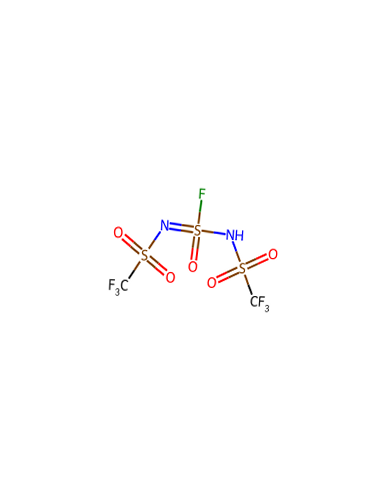 O=S(=O)(N=S(=O)(F)NS(=O)(=O)C(F)(F)F)C(F)(F)F